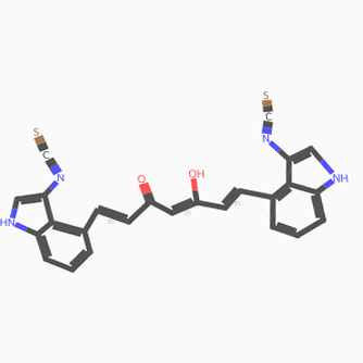 O=C(/C=C(O)/C=C/c1cccc2[nH]cc(N=C=S)c12)/C=C/c1cccc2[nH]cc(N=C=S)c12